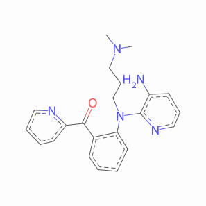 CN(C)CCCN(c1ccccc1C(=O)c1ccccn1)c1ncccc1N